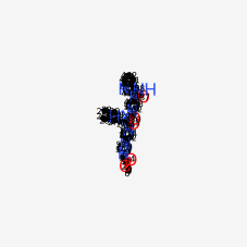 CCOC(=O)CN1CCN(C2CCN(C(=O)[C@@H](Cc3ccc(CC)c(CC)c3)NC(=O)N3CCC(n4c(=O)[nH]c5c6ccccc6ncc54)CC3)CC2)CC1